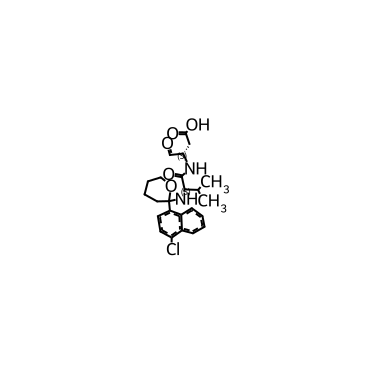 CC(C)[C@H](NC1(c2ccc(Cl)c3ccccc23)CCCCO1)C(=O)N[C@H](C=O)CC(=O)O